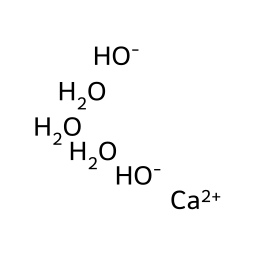 O.O.O.[Ca+2].[OH-].[OH-]